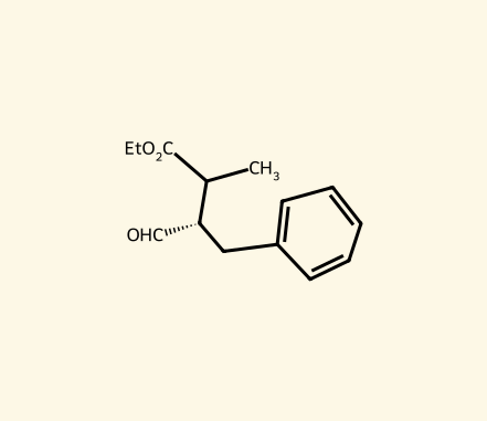 CCOC(=O)C(C)[C@@H](C=O)Cc1ccccc1